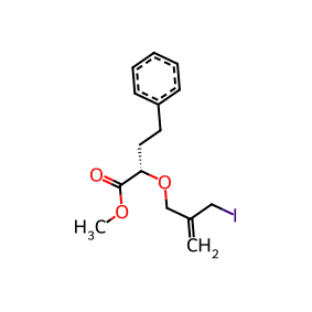 C=C(CI)CO[C@@H](CCc1ccccc1)C(=O)OC